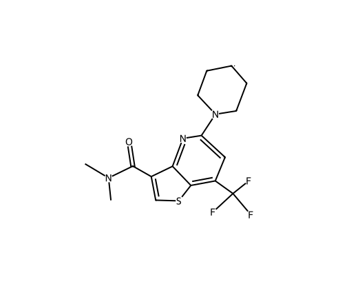 CN(C)C(=O)c1csc2c(C(F)(F)F)cc(N3CC[CH]CC3)nc12